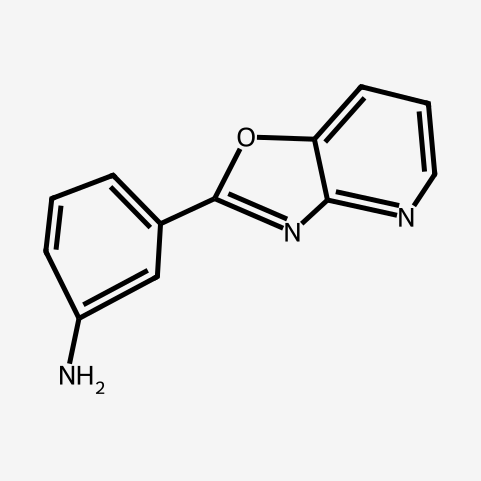 Nc1cccc(-c2nc3ncccc3o2)c1